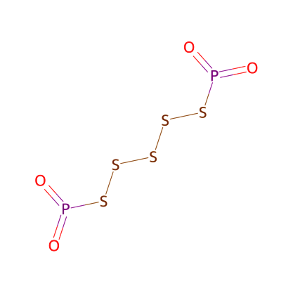 O=P(=O)SSSSSP(=O)=O